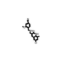 COc1cc(C#N)ccc1CNCc1cc2cc(Cl)cc(C)c2[nH]c1=O